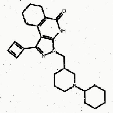 O=c1[nH]c2c(c(C3=CC=C3)nn2CC2CCCN(C3CCCCC3)C2)c2c1CCCC2